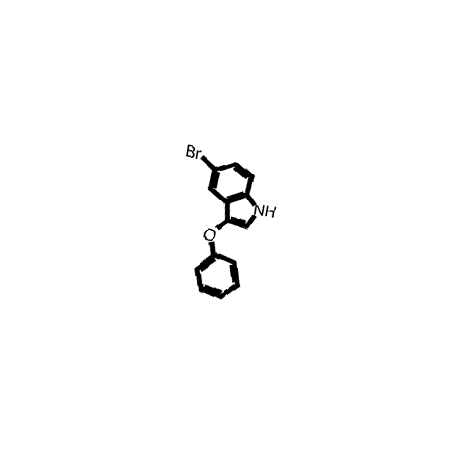 Brc1ccc2[nH]cc(Oc3ccccc3)c2c1